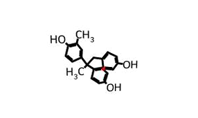 Cc1cc(C(C)(Cc2ccc(O)cc2)c2ccc(O)cc2)ccc1O